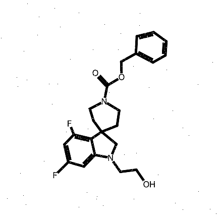 O=C(OCc1ccccc1)N1CCC2(CC1)CN(CCO)c1cc(F)cc(F)c12